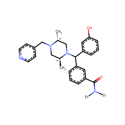 CCN(CC)C(=O)c1cccc(C(c2cccc(O)c2)N2C[C@@H](C)N(Cc3ccncc3)C[C@@H]2C)c1